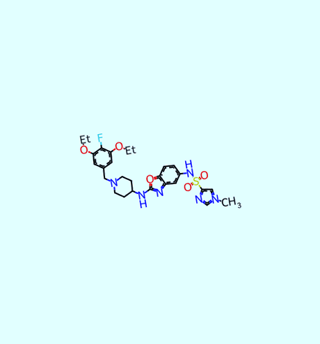 CCOc1cc(CN2CCC(Nc3nc4cc(NS(=O)(=O)c5cn(C)cn5)ccc4o3)CC2)cc(OCC)c1F